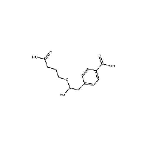 O=C(O)CCCON(O)Cc1ccc(C(=O)O)cc1